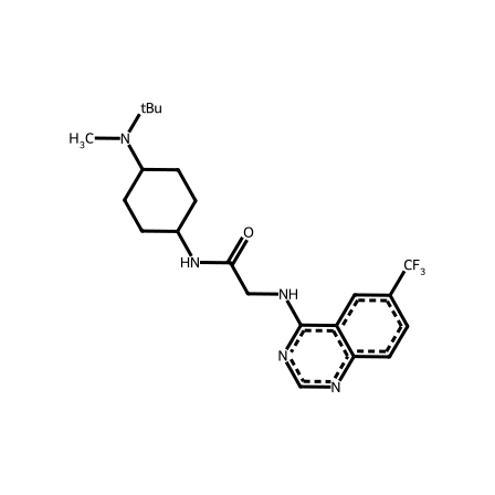 CN(C1CCC(NC(=O)CNc2ncnc3ccc(C(F)(F)F)cc23)CC1)C(C)(C)C